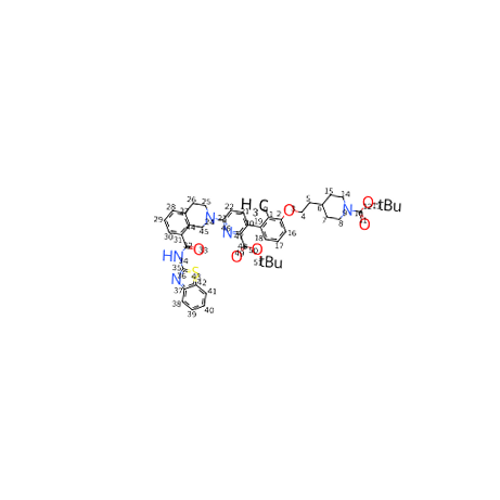 Cc1c(OCCC2CCN(C(=O)OC(C)(C)C)CC2)cccc1-c1ccc(N2CCc3cccc(C(=O)Nc4nc5ccccc5s4)c3C2)nc1C(=O)OC(C)(C)C